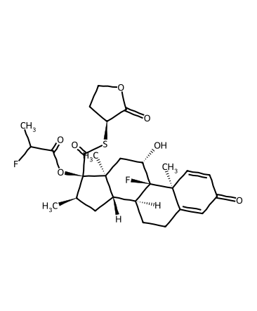 CC(F)C(=O)O[C@]1(C(=O)S[C@H]2CCOC2=O)[C@H](C)C[C@H]2[C@@H]3CCC4=CC(=O)C=C[C@]4(C)[C@@]3(F)[C@@H](O)C[C@@]21C